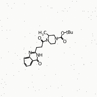 CC1CN(C(=O)OC(C)(C)C)CCN1C(=O)CCc1nc2ccccc2c(=O)[nH]1